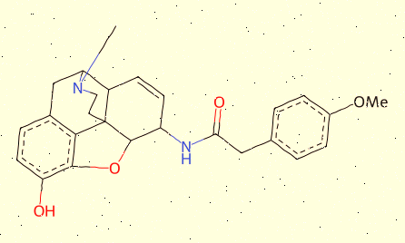 COc1ccc(CC(=O)NC2C=CC3C4Cc5ccc(O)c6c5C3(CCN4C)C2O6)cc1